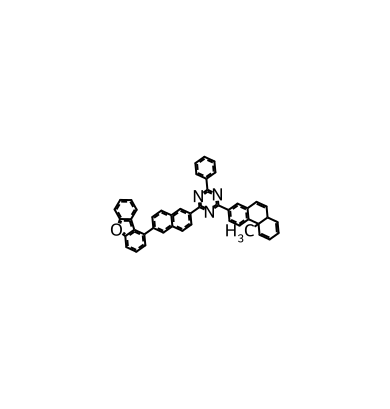 CC12C=CC=CC1C=Cc1cc(-c3nc(-c4ccccc4)nc(-c4ccc5cc(-c6cccc7oc8ccccc8c67)ccc5c4)n3)ccc12